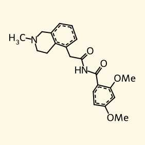 COc1ccc(C(=O)NC(=O)Cc2cccc3c2CCN(C)C3)c(OC)c1